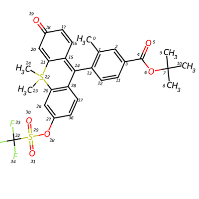 Cc1cc(C(=O)OC(C)(C)C)ccc1C1=C2C=CC(=O)C=C2S(C)(C)c2cc(OS(=O)(=O)C(F)(F)F)ccc21